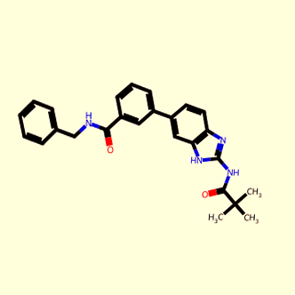 CC(C)(C)C(=O)Nc1nc2ccc(-c3cccc(C(=O)NCc4ccccc4)c3)cc2[nH]1